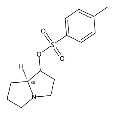 Cc1ccc(S(=O)(=O)OC2CCN3CCC[C@@H]23)cc1